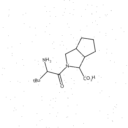 CC(C)(C)C(N)C(=O)N1CC2CCCC2C1C(=O)O